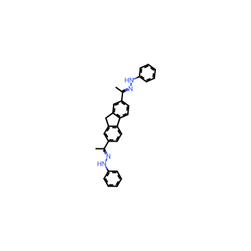 C/C(=N\Nc1ccccc1)c1ccc2c(c1)Cc1cc(/C(C)=N/Nc3ccccc3)ccc1-2